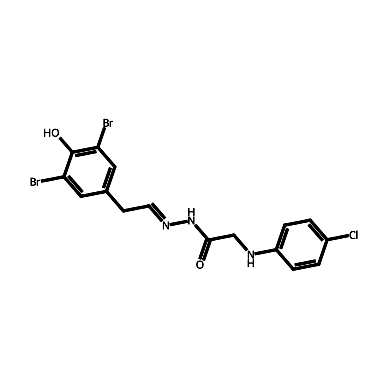 O=C(CNc1ccc(Cl)cc1)N/N=C/Cc1cc(Br)c(O)c(Br)c1